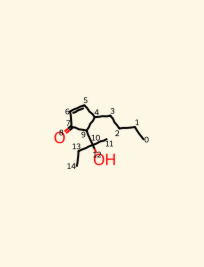 CCCCC1C=CC(=O)C1C(C)(O)CC